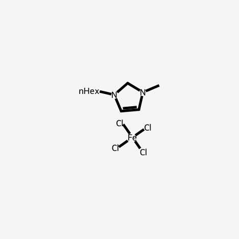 CCCCCCN1C=CN(C)C1.[Cl][Fe]([Cl])([Cl])[Cl]